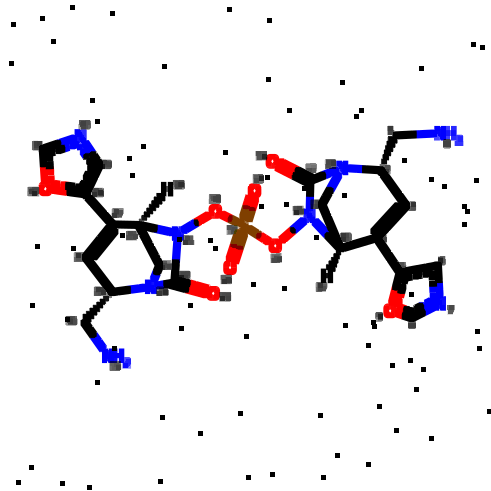 NC[C@@H]1C=C(c2cnco2)[C@@H]2CN1C(=O)N2OS(=O)(=O)ON1C(=O)N2C[C@H]1C(c1cnco1)=C[C@H]2CN